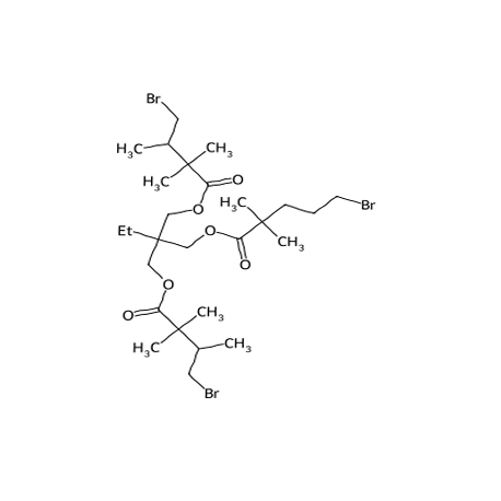 CCC(COC(=O)C(C)(C)CCCBr)(COC(=O)C(C)(C)C(C)CBr)COC(=O)C(C)(C)C(C)CBr